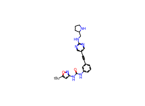 CC(C)(C)c1cc(NC(=O)Nc2cccc(C#Cc3cnc(NCC4CCCN4)nc3)c2)no1